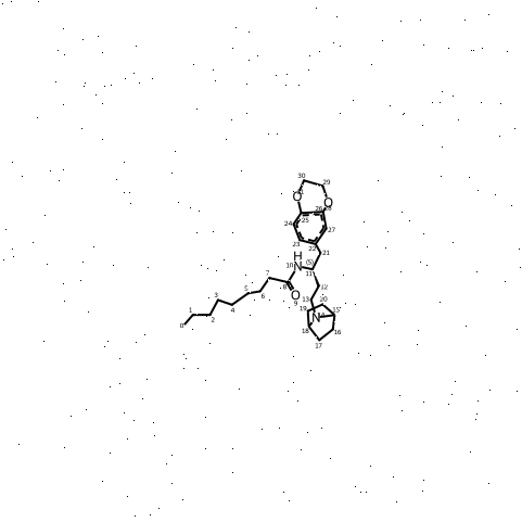 CCCCCCCCC(=O)N[C@H](CCN1C2CCC1CC2)Cc1ccc2c(c1)OCCO2